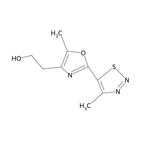 Cc1nnsc1-c1nc(CCO)c(C)o1